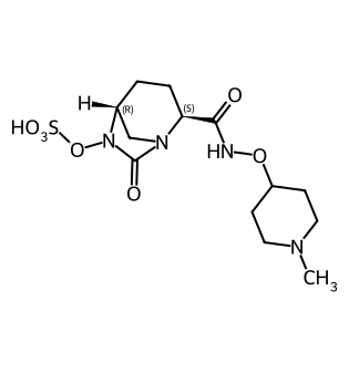 CN1CCC(ONC(=O)[C@@H]2CC[C@@H]3CN2C(=O)N3OS(=O)(=O)O)CC1